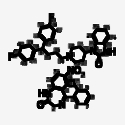 O=C1CN=C(c2ccccc2Cl)c2cc([N+](=O)[O-])ccc2N1.O=c1[nH]c2ccccc2n1C1CCN(CCCC(c2ccc(F)cc2)c2ccc(F)cc2)CC1